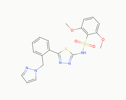 COc1cccc(OC)c1S(=O)(=O)Nc1nnc(-c2ccccc2Cn2cccn2)s1